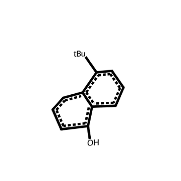 CC(C)(C)c1cccc2c(O)cccc12